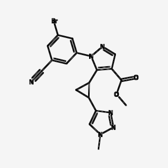 COC(=O)c1cnn(-c2cc(Br)cc(C#N)c2)c1C1CC1c1cn(C)nn1